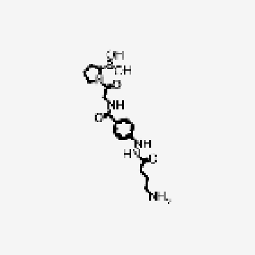 NCCCC(=O)NNc1ccc(C(=O)NCC(=O)N2CCC[C@H]2B(O)O)cc1